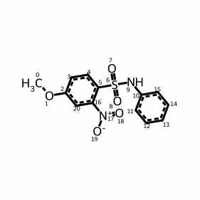 COc1ccc(S(=O)(=O)Nc2ccccc2)c([N+](=O)[O-])c1